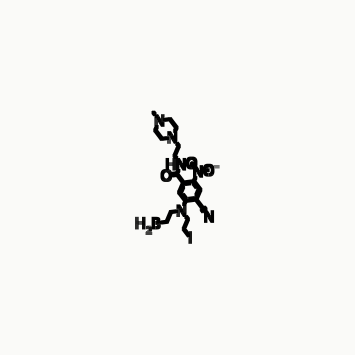 BCCN(CCI)c1cc(C(=O)NCCN2CCN(C)CC2)c([N+](=O)[O-])cc1C#N